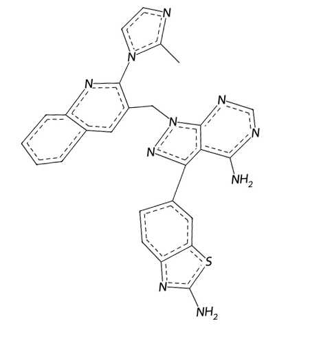 Cc1nccn1-c1nc2ccccc2cc1Cn1nc(-c2ccc3nc(N)sc3c2)c2c(N)ncnc21